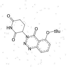 CC(C)(C)Oc1cccc2nnn(C3CCC(=O)NC3=O)c(=O)c12